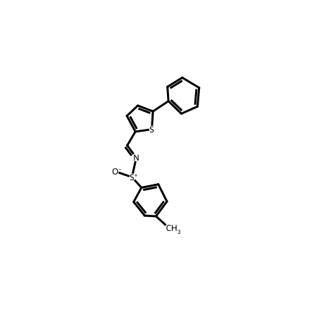 Cc1ccc([S+]([O-])N=Cc2ccc(-c3ccccc3)s2)cc1